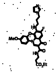 CCOC(=O)CCNC(=O)c1cn2c3c(c(NCCCn4ccnc4)c(F)cc3c1=O)Oc1cc(OC)ccc1-2